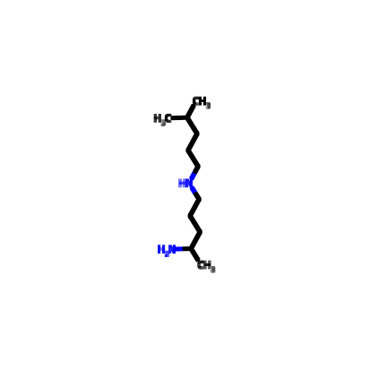 CC(C)CCCNCCCC(C)N